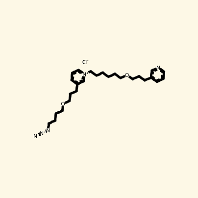 [Cl-].[N-]=[N+]=NCCCCOCCCc1ccc[n+](CCCCCCOCCCc2cccnc2)c1